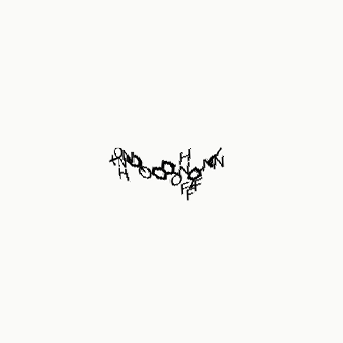 Cc1cn(-c2cc(NC(=O)c3cccc4cc(Oc5ccnc(NC(=O)C(C)(C)C)c5)ccc34)cc(C(F)(F)F)c2)cn1